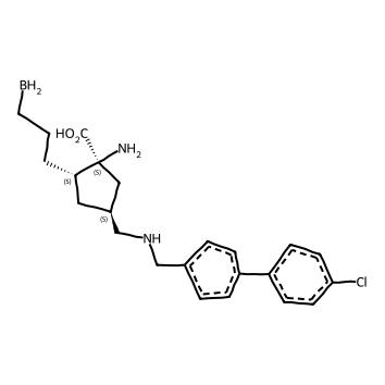 BCCC[C@H]1C[C@H](CNCc2ccc(-c3ccc(Cl)cc3)cc2)C[C@@]1(N)C(=O)O